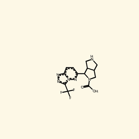 O=C(O)N1CC2CNCC2C1c1ccc2nnc(C(F)(F)F)n2n1